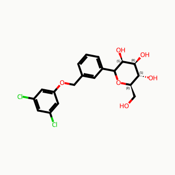 OC[C@H]1OC(c2cccc(COc3cc(Cl)cc(Cl)c3)c2)[C@@H](O)[C@@H](O)[C@@H]1O